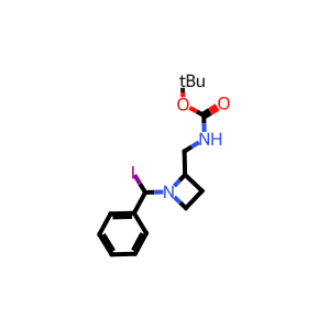 CC(C)(C)OC(=O)NCC1CCN1C(I)c1ccccc1